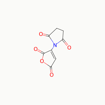 O=C1C=C(N2C(=O)CCC2=O)C(=O)O1